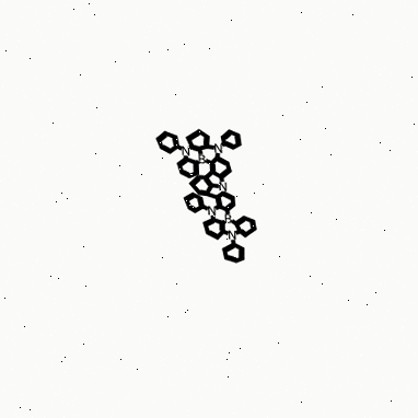 c1ccc(N2c3ccccc3B3c4c2cccc4N(c2ccccc2)c2ccc4c(c23)c2cccc3c5c6c(ccc5n4c23)B2c3ccccc3N(c3ccccc3)c3cccc(c32)N6c2ccccc2)cc1